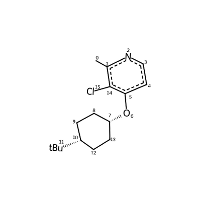 Cc1nccc(O[C@H]2CC[C@@H](C(C)(C)C)CC2)c1Cl